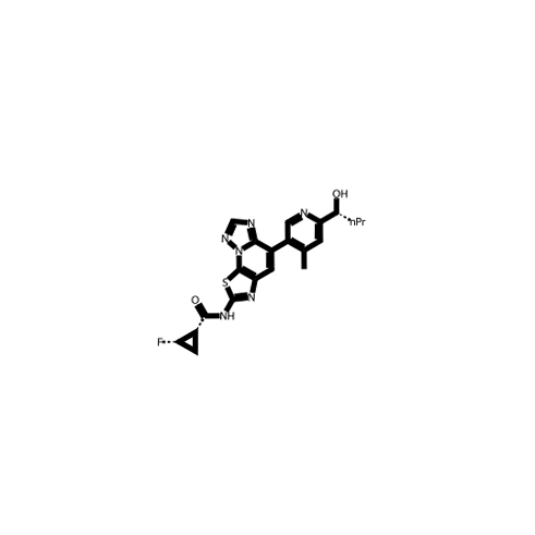 CCC[C@@H](O)c1cc(C)c(-c2cc3nc(NC(=O)[C@@H]4C[C@@H]4F)sc3n3ncnc23)cn1